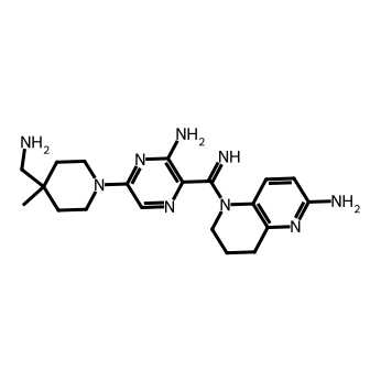 CC1(CN)CCN(c2cnc(C(=N)N3CCCc4nc(N)ccc43)c(N)n2)CC1